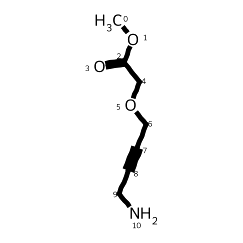 COC(=O)COCC#CCN